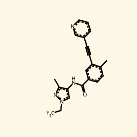 Cc1ccc(C(=O)Nc2cn(CC(F)(F)F)nc2C)cc1C#Cc1cccnc1